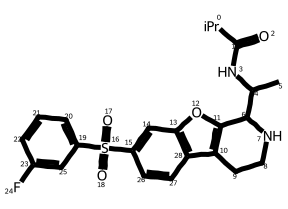 CC(C)C(=O)NC(C)C1NCCc2c1oc1cc(S(=O)(=O)c3cccc(F)c3)ccc21